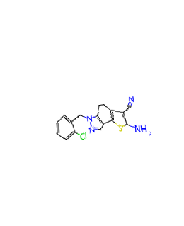 N#Cc1c(N)sc2c1CCc1c-2cnn1Cc1ccccc1Cl